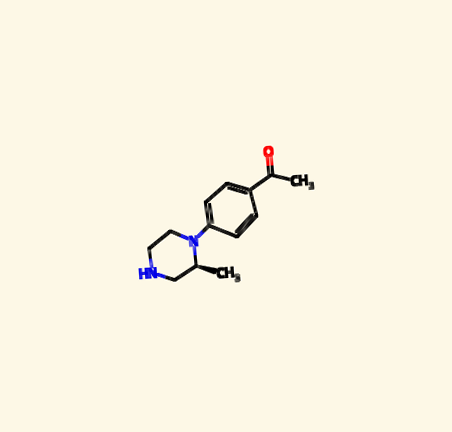 CC(=O)c1ccc(N2CCNC[C@@H]2C)cc1